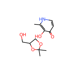 CC1(C)OCC(CO)O1.Cc1[nH]ccc(=O)c1O